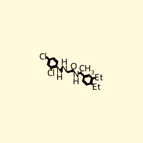 CCc1ccc([C@@H](C)NC(=O)CNNc2ccc(Cl)cc2Cl)cc1CC